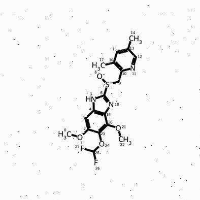 COc1cc2[nH]c([S+]([O-])Cc3ncc(C)cc3C)nc2c(OC)c1OC(F)F